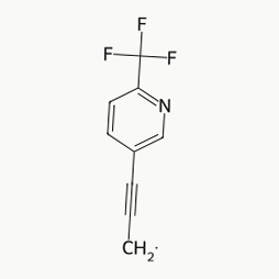 [CH2]C#Cc1ccc(C(F)(F)F)nc1